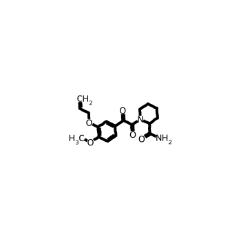 C=CCOc1cc(C(=O)C(=O)N2CCCCC2C(N)=O)ccc1OC